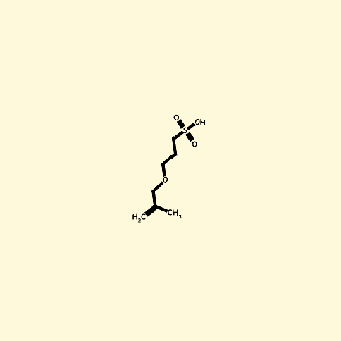 C=C(C)COCCCS(=O)(=O)O